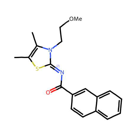 COCCn1c(C)c(C)s/c1=N\C(=O)c1ccc2ccccc2c1